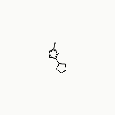 Brc1ccc(C2CCCC2)s1